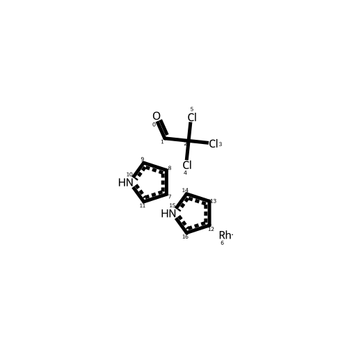 O=CC(Cl)(Cl)Cl.[Rh].c1cc[nH]c1.c1cc[nH]c1